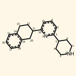 c1cc(C2CCNCC2)nc(C2CCc3ccccc3C2)c1